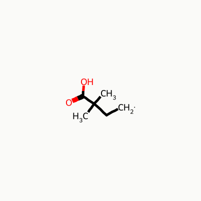 [CH2]CC(C)(C)C(=O)O